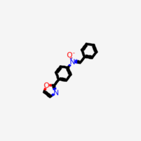 [O-][N+](=Cc1ccccc1)c1ccc(-c2ncco2)cc1